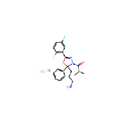 CC(C)C(=O)N1N=C(c2cc(F)ccc2F)OC1(CCCN)c1ccccc1.Cl.Cl